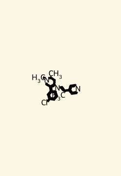 CC(=Cn1c2c(c3cc(Cl)ccc31)CN(C)[C@@H](C)C2)c1ccncc1